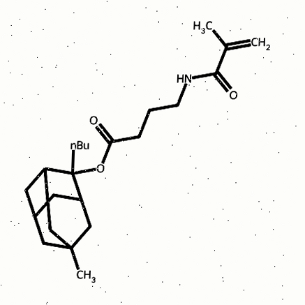 C=C(C)C(=O)NCCCC(=O)OC1(CCCC)C2CC3CC1CC(C)(C3)C2